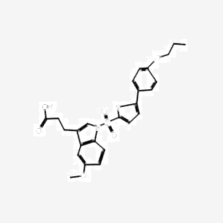 CCCOc1ccc(-c2ccc(S(=O)(=O)n3cc(CCC(=O)O)c4cc(OC)ccc43)s2)cc1